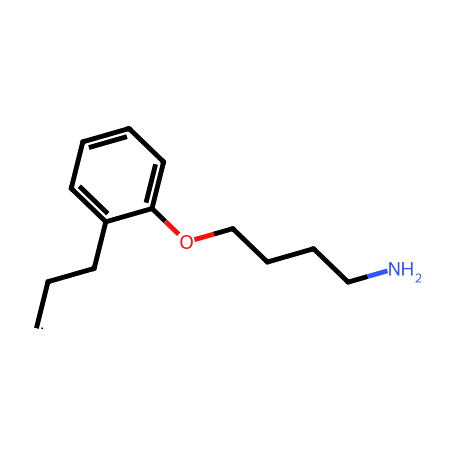 [CH2]CCc1ccccc1OCCCCN